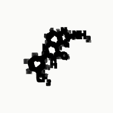 Nc1nc2ccc3nc(-c4cccc(C(F)(F)F)c4)[nH]c(=O)c3c2s1